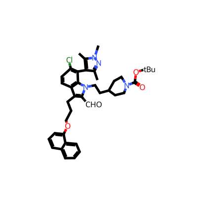 Cc1nn(C)c(C)c1-c1c(Cl)ccc2c(CCCOc3cccc4ccccc34)c(C=O)n(CCC3CCN(C(=O)OC(C)(C)C)CC3)c12